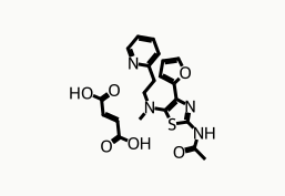 CC(=O)Nc1nc(-c2ccco2)c(N(C)CCc2ccccn2)s1.O=C(O)C=CC(=O)O